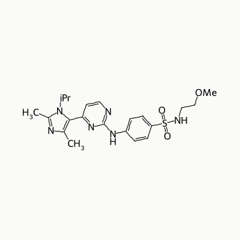 COCCNS(=O)(=O)c1ccc(Nc2nccc(-c3c(C)nc(C)n3C(C)C)n2)cc1